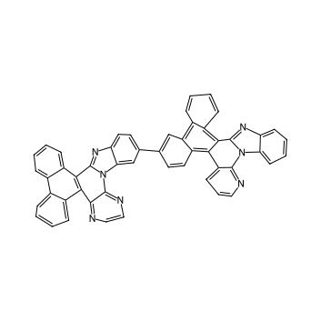 c1ccc2c(c1)nc1c3c4ccccc4c4cc(-c5ccc6nc7c8c9ccccc9c9ccccc9c8c8nccnc8n7c6c5)ccc4c3c3cccnc3n21